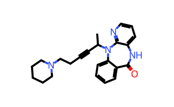 CC(C#CCCN1CCCCC1)N1c2ccccc2C(=O)Nc2cccnc21